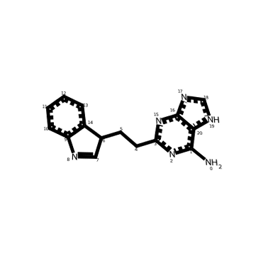 Nc1nc(CCC2C=Nc3ccccc32)nc2nc[nH]c12